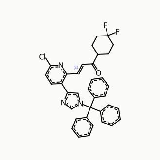 O=C(/C=C/c1nc(Cl)ccc1-c1cn(C(c2ccccc2)(c2ccccc2)c2ccccc2)cn1)C1CCC(F)(F)CC1